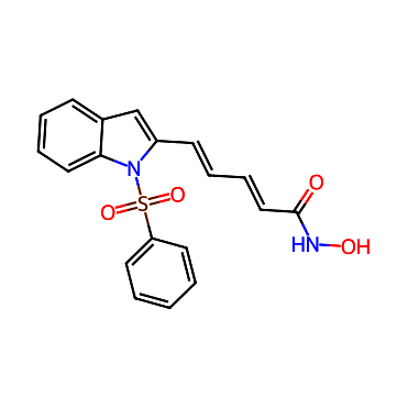 O=C(C=CC=Cc1cc2ccccc2n1S(=O)(=O)c1ccccc1)NO